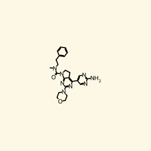 CN(CCc1ccccc1)C(=O)N1CCc2c(-c3cnc(N)nc3)nc(N3CCOCC3)nc21